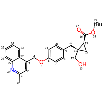 Cc1cc(COc2ccc(C[C@]3(CO)C[C@@H]3C(=O)OC(C)(C)C)cc2)c2ccccc2n1